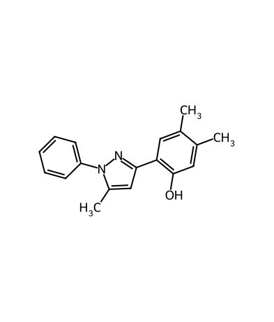 Cc1cc(O)c(-c2cc(C)n(-c3ccccc3)n2)cc1C